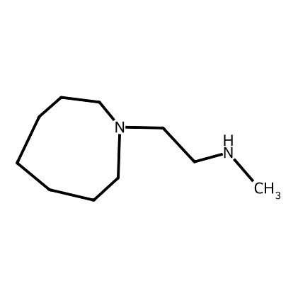 CNCCN1CCCCCCC1